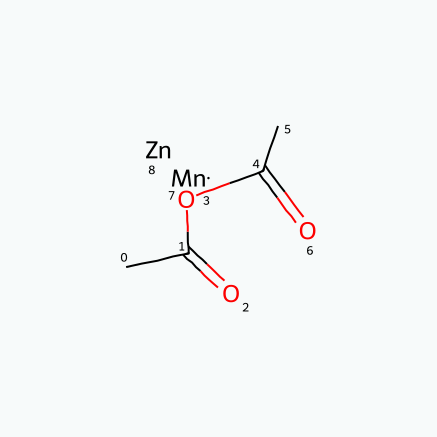 CC(=O)OC(C)=O.[Mn].[Zn]